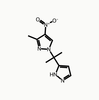 Cc1nn(C(C)(C)c2ccn[nH]2)cc1[N+](=O)[O-]